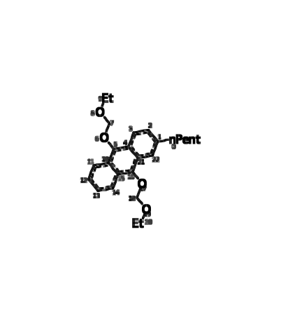 CCCCCc1ccc2c(OCOCC)c3ccccc3c(OCOCC)c2c1